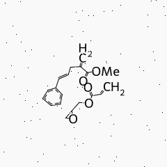 C=C(CC=Cc1ccccc1)C(=O)OC.C=CC(=O)OCC1CO1